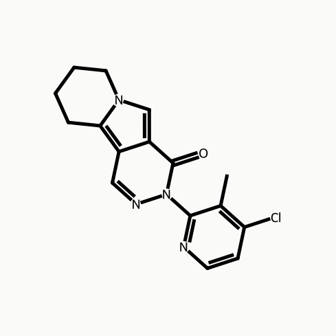 Cc1c(Cl)ccnc1-n1ncc2c3n(cc2c1=O)CCCC3